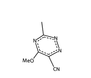 COc1nc(C)nnc1C#N